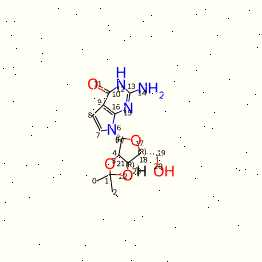 CC1(C)OC2[C@H](n3ccc4c(=O)[nH]c(N)nc43)O[C@H](CO)[C@H]2O1